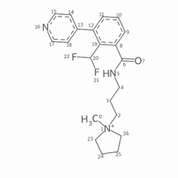 C[N+]1(CCCNC(=O)c2cccc(-c3ccncc3)c2C(F)F)CCCC1